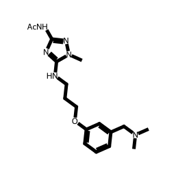 CC(=O)Nc1nc(NCCCOc2cccc(CN(C)C)c2)n(C)n1